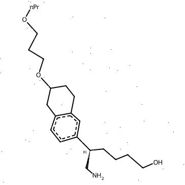 CCCOCCCOC1CCc2cc([C@H](CN)CCCCO)ccc2C1